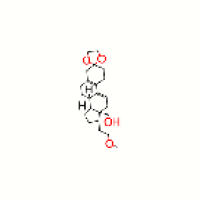 COCC[C@@]1(O)CC[C@H]2[C@@H]3CCC4=C(CCC5(C4)OCCO5)C3=CC[C@@]21C